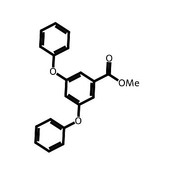 COC(=O)c1cc(Oc2ccccc2)cc(Oc2ccccc2)c1